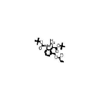 CCC(=O)OCc1cccc(NC(=O)OC(C)(C)C)c1C(N)C(=O)OC(C)(C)C